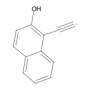 [C]#Cc1c(O)ccc2ccccc12